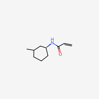 C=CC(=O)N[C@H]1CCCC(C)C1